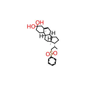 CC(CS(=O)(=O)c1ccccc1)[C@H]1CC[C@H]2[C@@H]3CC=C4CC(O)(O)CC[C@]4(C)[C@H]3CC[C@]12C